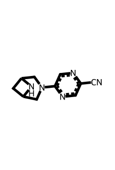 N#Cc1cnc(N2CC3CC(C2)N3)cn1